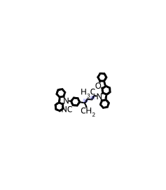 C=C/C(=C\C=C(/C)n1c2ccccc2c2ccc3c4ccccc4oc3c21)c1ccc(-n2c3ccccc3c3ccccc32)c(C#N)c1